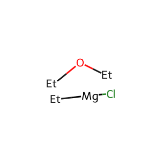 CCOCC.C[CH2][Mg][Cl]